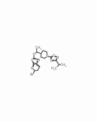 CC(C)c1noc(N2CCC(C(C)Oc3nc4c(s3)=NC(Br)CC=4)CC2)n1